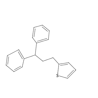 c1ccc(C(CCc2cccs2)c2ccccc2)cc1